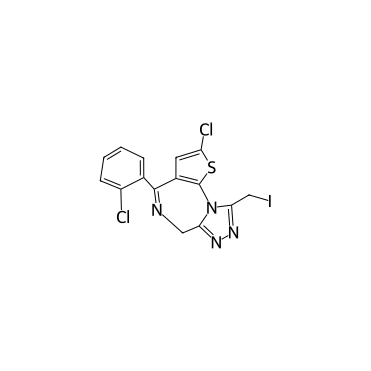 Clc1cc2c(s1)-n1c(CI)nnc1CN=C2c1ccccc1Cl